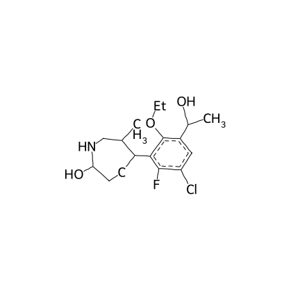 CCOc1c(C(C)O)cc(Cl)c(F)c1C1CCC(O)NCC1C